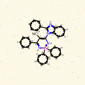 N#CC1=C(n2c(-c3ccccc3)nc3ccccc32)N=P(c2ccccc2)(c2ccccc2)N=C1c1ccccc1